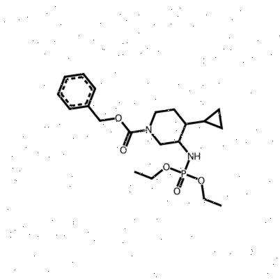 CCOP(=O)(NC1CN(C(=O)OCc2ccccc2)CCC1C1CC1)OCC